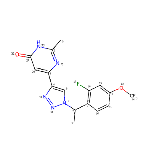 Cc1nc(-c2cn(C(C)c3ccc(OC(F)(F)F)cc3F)nn2)cc(=O)[nH]1